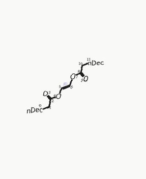 CCCCCCCCCCCC(=O)O/C=C/OC(=O)CCCCCCCCCCC